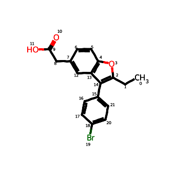 CCc1oc2ccc(CC(=O)O)cc2c1-c1ccc(Br)cc1